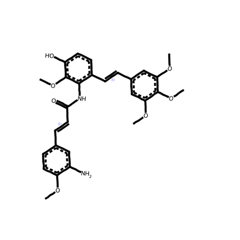 COc1ccc(/C=C/C(=O)Nc2c(/C=C/c3cc(OC)c(OC)c(OC)c3)ccc(O)c2OC)cc1N